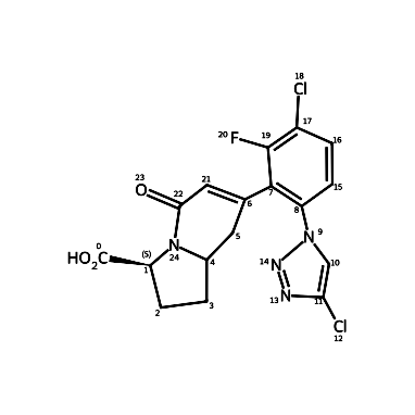 O=C(O)[C@@H]1CCC2CC(c3c(-n4cc(Cl)nn4)ccc(Cl)c3F)=CC(=O)N21